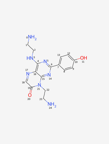 NCCNc1nc(-c2ccc(O)cc2)nc2c1ncc(=O)n2CCN